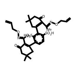 C=CCON=C(CCC)C1=C(c2ccc(S(=O)(=O)O)c(C3=C(C(CCC)=NOCC=C)C(=O)CC(C)(C)C3)c2S(=O)(=O)O)CC(C)(C)CC1=O